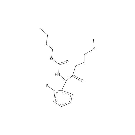 CCCCOC(=O)NC(C(=O)CCCSC)c1ccccc1F